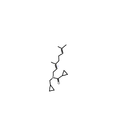 CC(C)=CCC/C(C)=C/CN(CC1CC1)C(=O)C1CC1